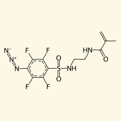 C=C(C)C(=O)NCCNS(=O)(=O)c1c(F)c(F)c(N=[N+]=[N-])c(F)c1F